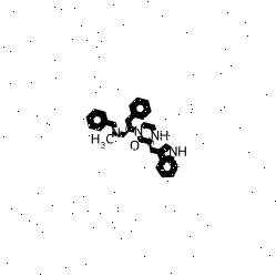 CN(Cc1ccccc1)C[C@@H](Cc1ccccc1)N1CCN[C@@H](Cc2c[nH]c3ccccc23)C1=O